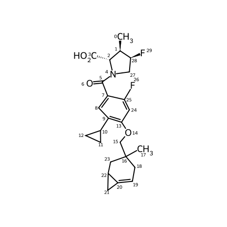 C[C@@H]1[C@@H](C(=O)O)N(C(=O)c2cc(C3CC3)c(OCC3(C)CC=C4CC4C3)cc2F)C[C@@H]1F